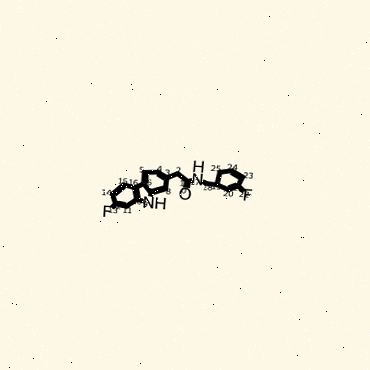 O=C(Cc1ccc2c(c1)[nH]c1cc(F)ccc12)NCC1C=C(F)C=CC1